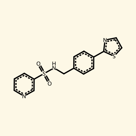 O=S(=O)(NCc1ccc(-c2nccs2)cc1)c1cccnc1